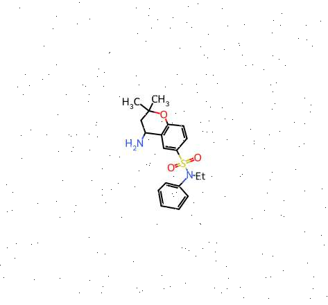 CCN(c1ccccc1)S(=O)(=O)c1ccc2c(c1)C(N)CC(C)(C)O2